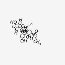 CC=C1CC(=O)N([C@@H]2CC[C@@]3(O)[C@H]4Cc5ccc(O)c6c5[C@@]3(CCN4CC3CC3)[C@H]2O6)C1=O.O=C(O)C(O)C(O)C(=O)O